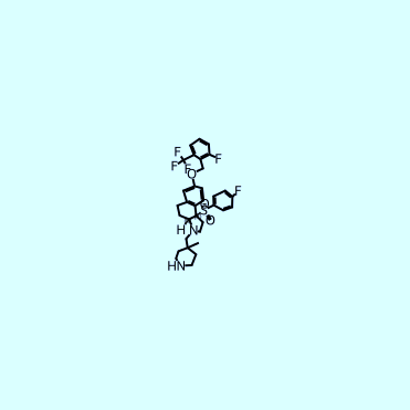 CC1(CN2CC[C@@]3(S(=O)(=O)c4ccc(F)cc4)c4ccc(OCc5c(F)cccc5C(F)(F)F)cc4CC[C@@H]23)CCNCC1